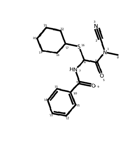 CN(C#N)C(=O)C(NC(=O)c1ccccc1)SC1CCCCC1